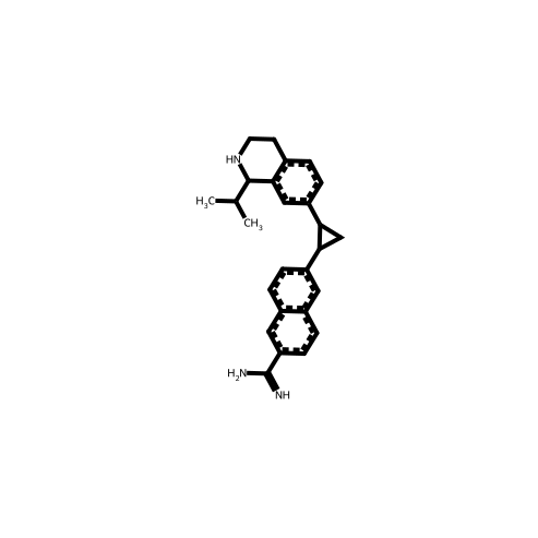 CC(C)C1NCCc2ccc(C3CC3c3ccc4cc(C(=N)N)ccc4c3)cc21